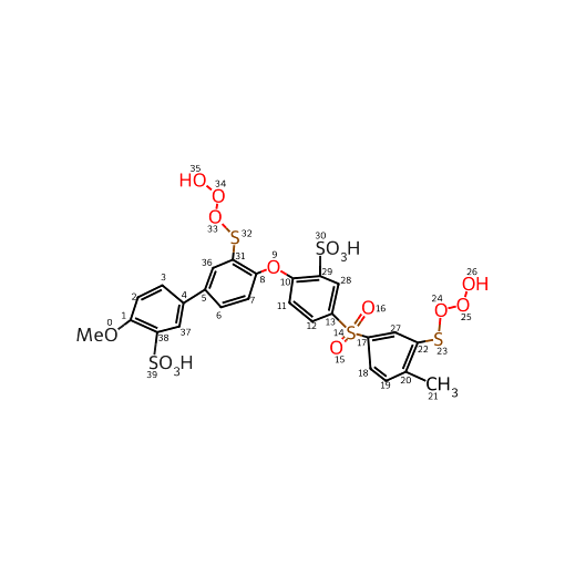 COc1ccc(-c2ccc(Oc3ccc(S(=O)(=O)c4ccc(C)c(SOOO)c4)cc3S(=O)(=O)O)c(SOOO)c2)cc1S(=O)(=O)O